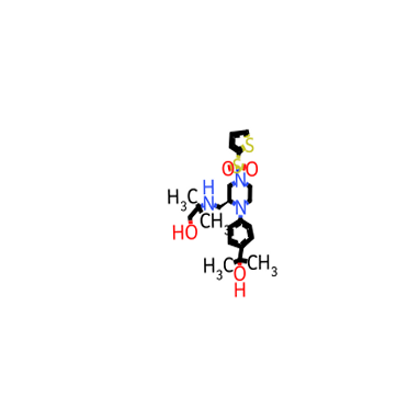 CC(C)(CO)NC[C@H]1CN(S(=O)(=O)c2cccs2)CCN1c1ccc(C(C)(C)O)cc1